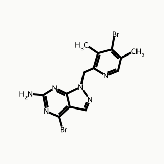 Cc1cnc(Cn2ncc3c(Br)nc(N)nc32)c(C)c1Br